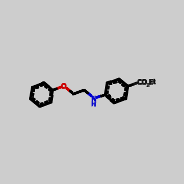 CCOC(=O)c1ccc(NCCOc2ccccc2)cc1